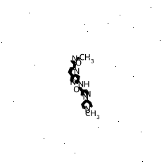 Cc1ncc(-c2ccc3cnc(NC(=O)c4cnn(C5CCN(C)CC5)c4)cc3n2)o1